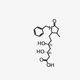 CC1CC(=O)N(Cc2ccccc2)C1CC[C@H](O)C[C@@H](O)CC(=O)O